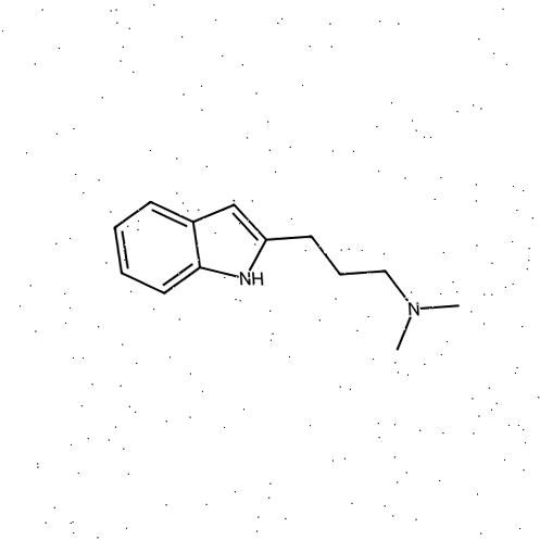 CN(C)CCCc1[c]c2ccccc2[nH]1